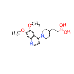 COc1cc2nccc(N3CCC(CCB(O)O)CC3)c2cc1OC